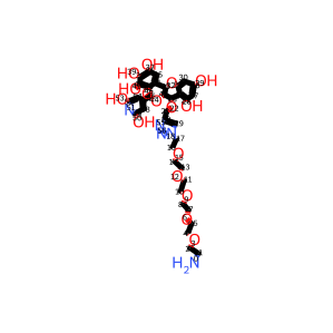 NCCOCCOCCOCCOCCOCCn1cc(COC2c3c(O)cc(O)cc3OC(c3cc(O)c(O)c(O)c3)C2OC(=O)c2cc(O)nc(O)c2)nn1